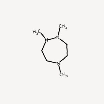 CN1CCN(C)N(C)CC1